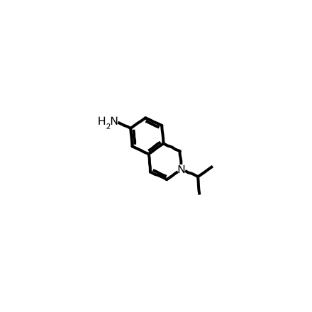 CC(C)N1C=Cc2cc(N)ccc2C1